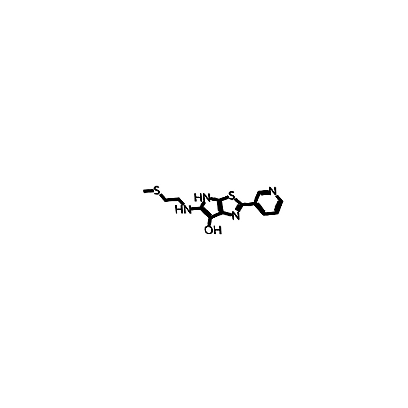 CSCCNc1[nH]c2sc(-c3cccnc3)nc2c1O